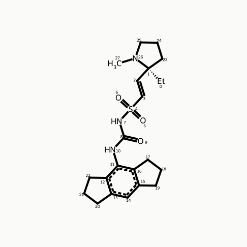 CC[C@@]1(/C=C/S(=O)(=O)NC(=O)Nc2c3c(cc4c2CCC4)CCC3)CCCN1C